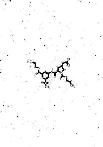 C=CCOC(=O)c1cc(NC(=O)C2CC(CC(O)=S)CN2C(=O)OCC=C)cc(S(C)(=O)=O)c1